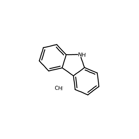 [CH].c1ccc2c(c1)[nH]c1ccccc12